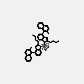 CCCCC1=Cc2c(-c3c(C)ccc4ccccc34)cccc2[CH]1[Zr]([Cl])([Cl])([CH]1C(CCCC)=Cc2c(-c3c(C)ccc4ccccc34)cccc21)=[Si](C)C